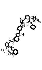 CN(C)[C@H](C(=O)N1CCC[C@H]1C(=O)Nc1ccc2[nH]c(-c3ccc(-c4cnc([C@@H]5CCCN5C(=O)[C@H](c5ccccc5)N(C)C)[nH]4)cc3)cc2c1)c1ccccc1